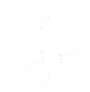 O=C(O)/C=C(/C(=O)O)N(F)c1ccccc1